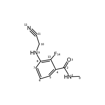 CNC(=O)c1cccc(NCC#N)c1F